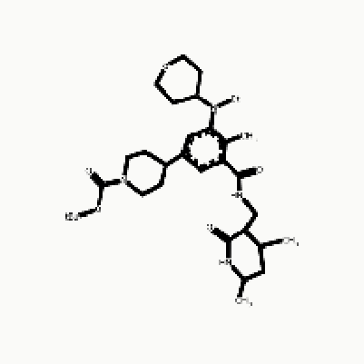 CCN(c1cc(C2CCN(C(=O)OC(C)(C)C)CC2)cc(C(=O)NCC2C(=O)NC(C)CC2C)c1C)C1CCOCC1